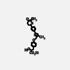 CCOC(=O)C(Cc1ccc(OCc2sc(-c3ccc(C4=NN(C)C(=O)CC4)cc3)cc2C)cc1)OCC